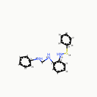 c1ccc(NCNc2ccccc2NSc2ccccc2)cc1